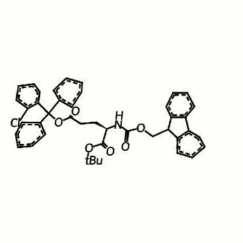 CC(C)(C)OC(=O)[C@@H](CCC(=O)OC(c1ccccc1)(c1ccccc1)c1ccccc1Cl)NC(=O)OCC1c2ccccc2-c2ccccc21